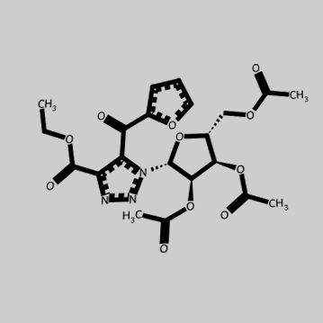 CCOC(=O)c1nnn([C@@H]2O[C@H](COC(C)=O)[C@@H](OC(C)=O)[C@H]2OC(C)=O)c1C(=O)c1ccco1